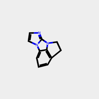 c1cc2c3c(c1)n1ccnc1n3CC2